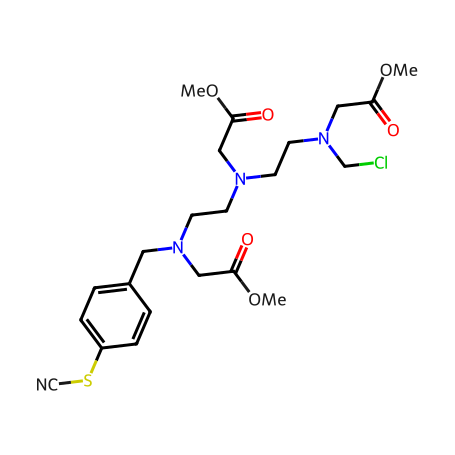 COC(=O)CN(CCl)CCN(CCN(CC(=O)OC)Cc1ccc(SC#N)cc1)CC(=O)OC